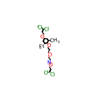 CCc1cc(OCC=C(Cl)Cl)cc(C)c1OCCCOCC=NOCC=C(Cl)Cl